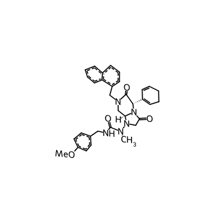 COc1ccc(CNC(=O)N(C)N2CC(=O)N3[C@@H](C4=CCCC=C4)C(=O)N(Cc4cccc5ccccc45)C[C@@H]32)cc1